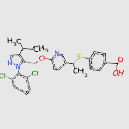 CC(C)c1cnn(-c2c(Cl)cccc2Cl)c1COc1ccc(C(C)Sc2ccc(C(=O)O)cc2)cn1